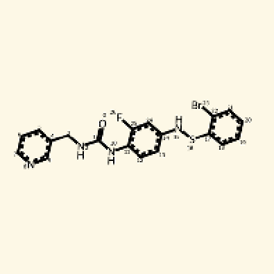 O=C(NCc1cccnc1)Nc1ccc(NSc2ccccc2Br)cc1F